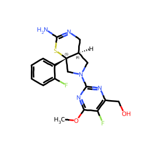 COc1nc(N2C[C@@H]3CN=C(N)S[C@@]3(c3ccccc3F)C2)nc(CO)c1F